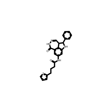 O=C(CCCc1cccs1)Nc1cc2c3c(c1)C(=O)NN=CC3C(c1ccccc1)N2